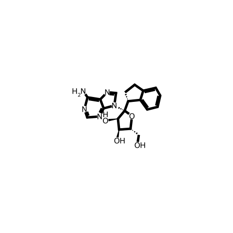 Nc1ncnc2c1ncn2[C@]1([C@@H]2CCc3ccccc32)O[C@H](CO)[C@@H](O)[C@H]1O